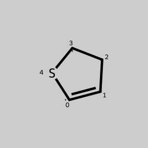 [C]1=CC[CH]S1